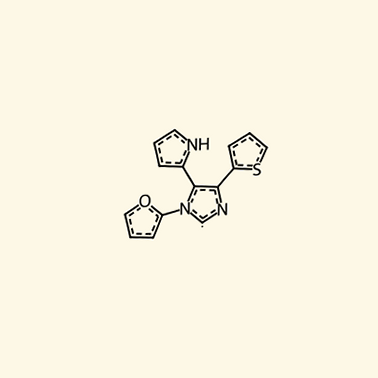 [c]1nc(-c2cccs2)c(-c2ccc[nH]2)n1-c1ccco1